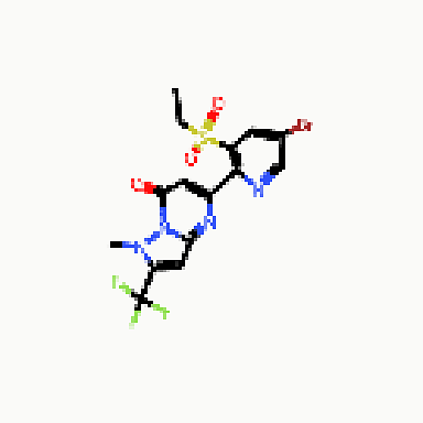 CCS(=O)(=O)c1cc(Br)cnc1-c1cc(=O)n2c(cc(C(F)(F)F)n2C)n1